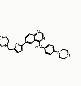 c1nc(Nc2ccc(N3CCOCC3)cc2)c2cc(-c3ccc(CN4CCOCC4)o3)ccc2n1